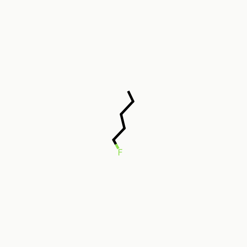 CCCCCF